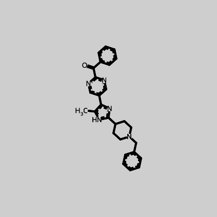 Cc1[nH]c(C2CCN(Cc3ccccc3)CC2)nc1-c1cnc(C(=O)c2ccccc2)nc1